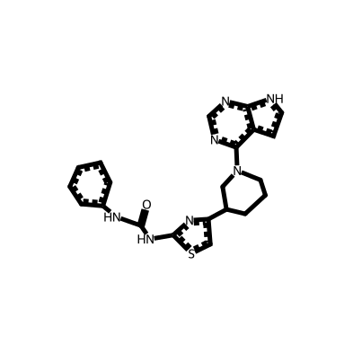 O=C(Nc1ccccc1)Nc1nc(C2CCCN(c3ncnc4[nH]ccc34)C2)cs1